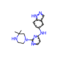 CC1(C)CN(c2nccc(Nc3ccc4[nH]ncc4c3)n2)CCN1